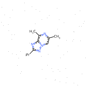 Cc1cn2nc(C(C)C)nc2c(C)n1